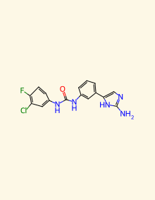 Nc1ncc(-c2cccc(NC(=O)Nc3ccc(F)c(Cl)c3)c2)[nH]1